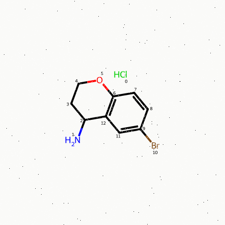 Cl.NC1CCOc2ccc(Br)cc21